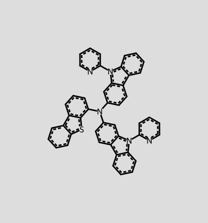 c1ccc(-n2c3ccccc3c3ccc(N(c4ccc5c6ccccc6n(-c6ccccn6)c5c4)c4cccc5c4sc4ccccc45)cc32)nc1